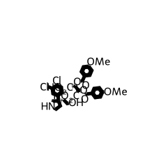 COc1ccc(C(=O)O[C@H](C(=O)O)[C@@H](OC(=O)c2ccc(OC)cc2)C(=O)O)cc1.OCC[C@]1(c2ccc(Cl)c(Cl)c2)CCNC1